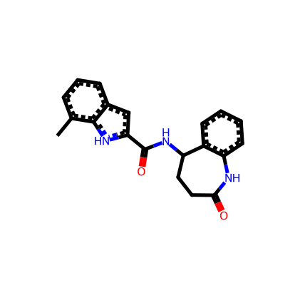 Cc1cccc2cc(C(=O)NC3CCC(=O)Nc4ccccc43)[nH]c12